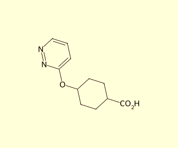 O=C(O)C1CCC(Oc2cccnn2)CC1